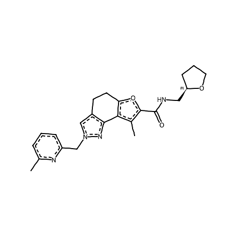 Cc1cccc(Cn2cc3c(n2)-c2c(oc(C(=O)NC[C@H]4CCCO4)c2C)CC3)n1